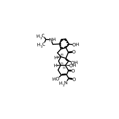 CC(C)NCc1ccc(O)c2c1C[C@H]1C[C@H]3CC(O)=C(C(N)=O)C(=O)[C@@]3(O)C(O)=C1C2=O